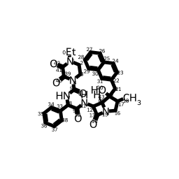 CCN1CCN(C(=O)NC(C(=O)NC2C(=O)N3CC(C)C(O)(Cc4ccc5ccccc5c4)[C@H]23)c2ccccc2)C(=O)C1=O